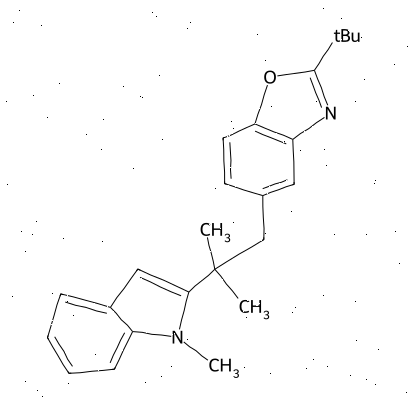 Cn1c(C(C)(C)Cc2ccc3oc(C(C)(C)C)nc3c2)cc2ccccc21